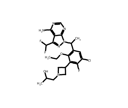 CCOc1c(C(C)n2nc(C(F)F)c3c(N)ncnc32)cc(Cl)c(F)c1C1CN(CC(C)O)C1